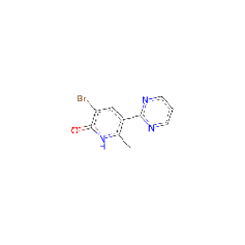 Cc1[nH]c(=O)c(Br)cc1-c1ncccn1